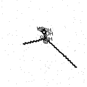 CCCCCCCCCCCCCCCCCCCCCCCCCC(=O)N[C@@H](CO[C@H]1CC(CO)C(O)[C@H](O)C1O)[C@H](O)[C@H](O)CCCCCCCCCCCCCC